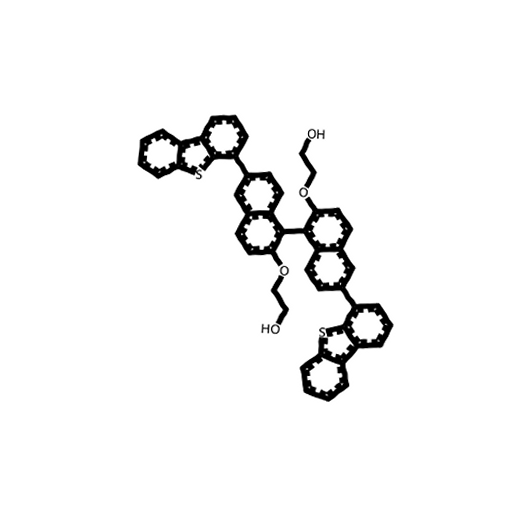 OCCOc1ccc2cc(-c3cccc4c3sc3ccccc34)ccc2c1-c1c(OCCO)ccc2cc(-c3cccc4c3sc3ccccc34)ccc12